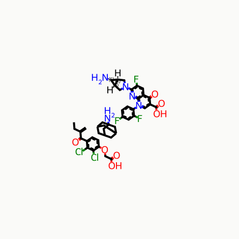 C=C(CC)C(=O)c1ccc(OCC(=O)O)c(Cl)c1Cl.NC12CC3CC(CC(C3)C1)C2.N[C@@H]1[C@H]2CN(c3nc4c(cc3F)c(=O)c(C(=O)O)cn4-c3ccc(F)cc3F)C[C@@H]12